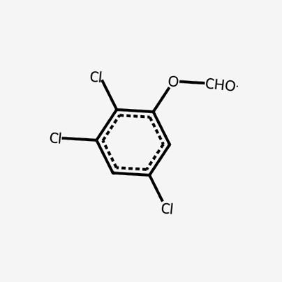 O=[C]Oc1cc(Cl)cc(Cl)c1Cl